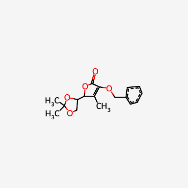 CC1=C(OCc2ccccc2)C(=O)OC1C1COC(C)(C)O1